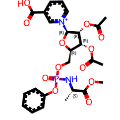 COC(=O)[C@H](C)NP(=O)(OC[C@H]1O[C@@H]([n+]2cccc(C(=O)O)c2)[C@H](OC(C)=O)[C@@H]1OC(C)=O)Oc1ccccc1